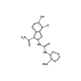 CSc1ccccc1NC(=O)Nc1sc2c(Cl)c(O)ccc2c1C(N)=O